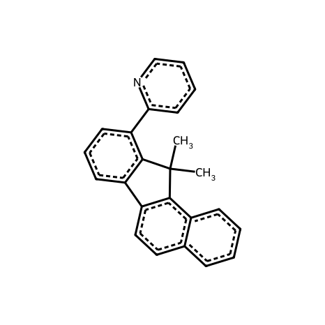 CC1(C)c2c(-c3ccccn3)cccc2-c2ccc3ccccc3c21